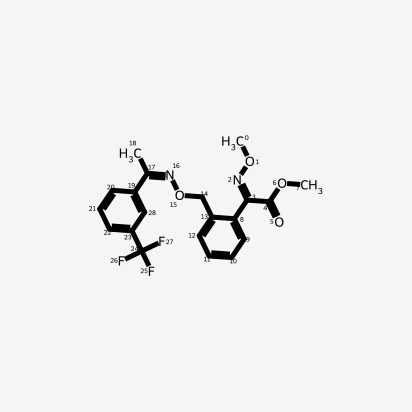 CON=C(C(=O)OC)c1ccccc1CON=C(C)c1cccc(C(F)(F)F)c1